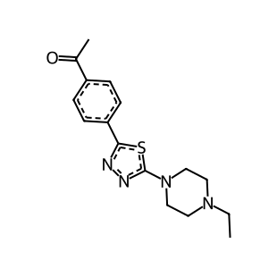 CCN1CCN(c2nnc(-c3ccc(C(C)=O)cc3)s2)CC1